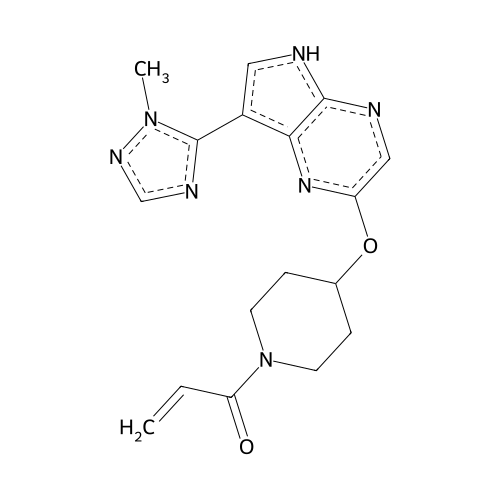 C=CC(=O)N1CCC(Oc2cnc3[nH]cc(-c4ncnn4C)c3n2)CC1